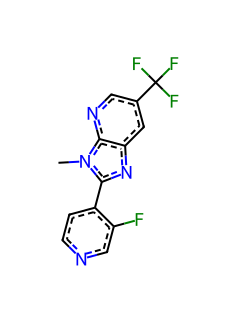 Cn1c(-c2ccncc2F)nc2cc(C(F)(F)F)cnc21